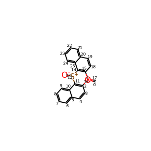 COc1ccc2ccccc2c1[S+]([O-])c1c(OC)ccc2ccccc12